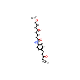 C=CC(=O)CCc1ccc(NC(=O)CCCC(=O)CCCOCCC)cc1